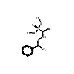 CCOP(=O)(OCC)C(NOC(C)c1ccccc1)C(C)(C)C